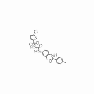 Cc1ccc(C(=O)Nc2ccc(NC(=O)NS(=O)(=O)c3ccc(Cl)s3)cc2C)cc1